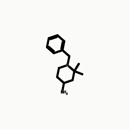 CC1(C)CC(N)CCN1Cc1ccccc1